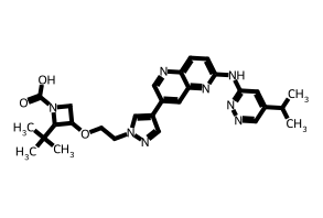 CC(C)c1cnnc(Nc2ccc3ncc(-c4cnn(CCOC5CN(C(=O)O)C5C(C)(C)C)c4)cc3n2)c1